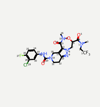 CN(CC(F)(F)F)C(=O)C1Cn2nc3c(c2C(=O)N(C)O1)CN(C(=O)Nc1ccc(F)c(Cl)c1)CC3